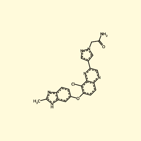 Cc1nc2ccc(Oc3ccc4ncc(-c5cnn(CC(N)=O)c5)nc4c3Cl)cc2[nH]1